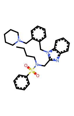 CCCCN(Cc1nc2ccccc2n1Cc1ccccc1CN1CCCCC1)S(=O)(=O)c1ccccc1